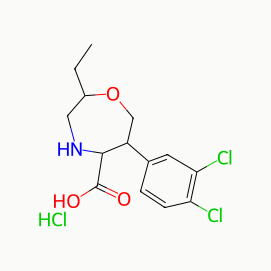 CCC1CNC(C(=O)O)C(c2ccc(Cl)c(Cl)c2)CO1.Cl